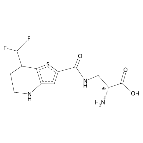 N[C@H](CNC(=O)c1cc2c(s1)C(C(F)F)CCN2)C(=O)O